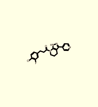 O=C(CCc1ccc(Cl)c(F)c1)N1CCCc2c(-c3ccncc3)n[nH]c21